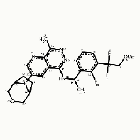 COCC(F)(F)c1cccc([C@@H](C)Nc2nnc(C)c3ncc(N4C5CCC4COC5)cc23)c1F